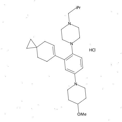 COC1CCN(c2ccc(N3CCN(CC(C)C)CC3)c(C3=CCC4(CC3)CC4)c2)CC1.Cl